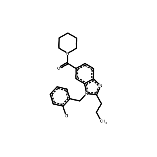 CCCc1nc2ccc(C(=O)N3CCCCC3)cc2n1Cc1ccccc1Cl